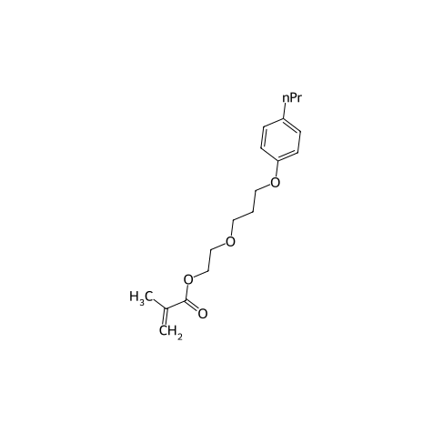 C=C(C)C(=O)OCCOCCCOc1ccc(CCC)cc1